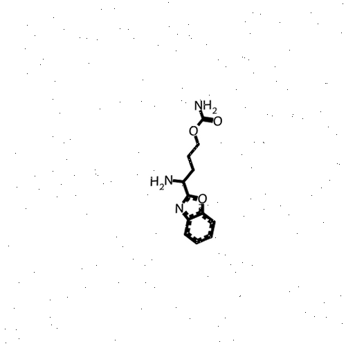 NC(=O)OCCCC(N)c1nc2ccccc2o1